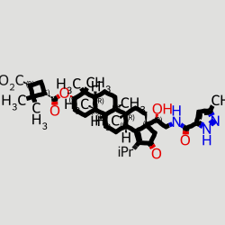 Cc1cc(C(=O)NC[C@H](O)[C@@]23CC[C@]4(C)[C@H](CC[C@@H]5[C@@]6(C)CC[C@H](OC(=O)[C@H]7C[C@@H](C(=O)O)C7(C)C)C(C)(C)[C@@H]6CC[C@]54C)C2=C(C(C)C)C(=O)C3)[nH]n1